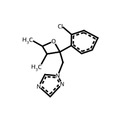 CC1OC(Cn2cncn2)(c2ccccc2Cl)C1C